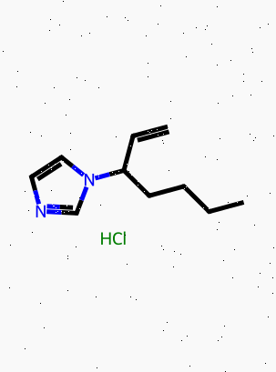 C=CC(CCCC)n1ccnc1.Cl